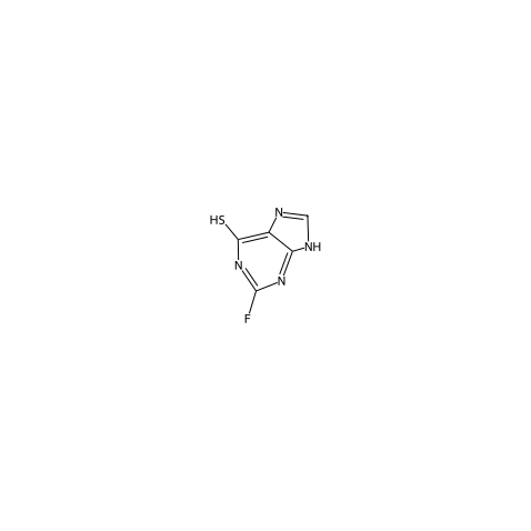 Fc1nc(S)c2nc[nH]c2n1